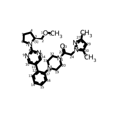 COC[C@@H]1CCCN1c1ncc(-c2ccccc2N2CCN(C(=O)Cn3nc(C)cc3C)CC2)cn1